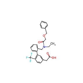 CCN(Cc1ccccc1-c1cc(CC(=O)O)ccc1C(F)(F)F)C(=O)COCc1ccccc1